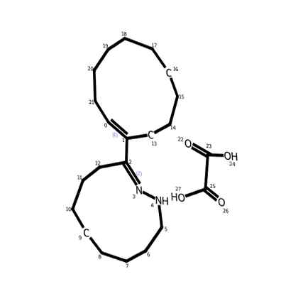 C1=C(/C2=N\NCCCCCCCC2)CCCCCCCCC/1.O=C(O)C(=O)O